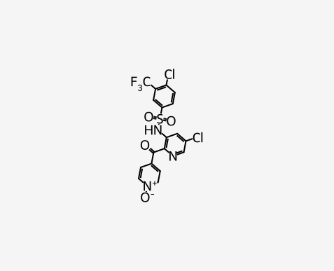 O=C(c1cc[n+]([O-])cc1)c1ncc(Cl)cc1NS(=O)(=O)c1ccc(Cl)c(C(F)(F)F)c1